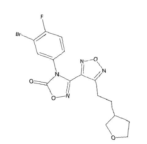 O=c1onc(-c2nonc2CCC2CCOC2)n1-c1ccc(F)c(Br)c1